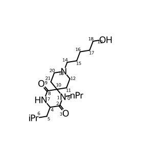 CCCN1C(=O)C(CC(C)C)NC(=O)C12CCN(CCCCCO)CC2